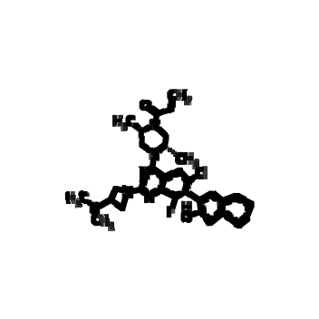 C=CC(=O)N1C[C@H](C)N(c2nc(N3CC(N(C)C)C3)nc3c(F)c(-c4cc5ccccc5cc4O)c(Cl)cc23)C[C@H]1C